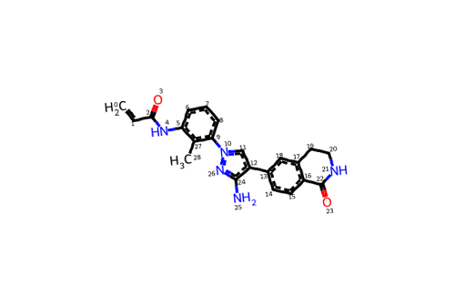 C=CC(=O)Nc1cccc(-n2cc(-c3ccc4c(c3)CCNC4=O)c(N)n2)c1C